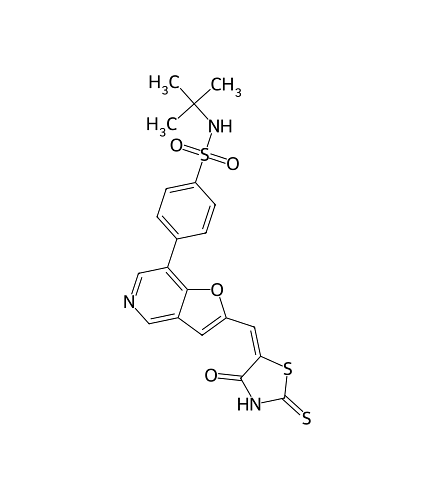 CC(C)(C)NS(=O)(=O)c1ccc(-c2cncc3cc(C=C4SC(=S)NC4=O)oc23)cc1